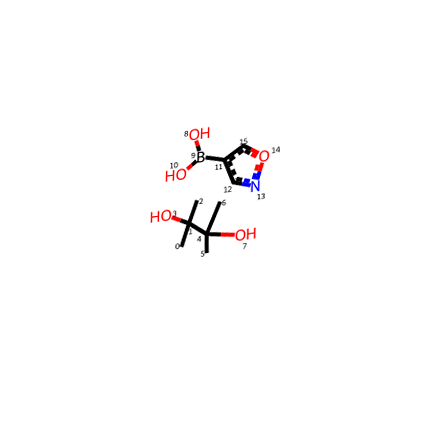 CC(C)(O)C(C)(C)O.OB(O)c1cnoc1